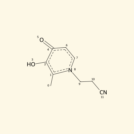 Cc1c(O)c(=O)ccn1CCC#N